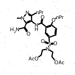 CCCOc1ccc(S(=O)(=O)N(CCOC(C)=O)CCOC(C)=O)cc1C(=O)Nc1c(CCC)nn(C)c1C(N)=O